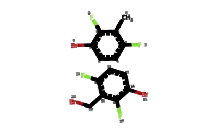 Cc1c(F)ccc(Br)c1F.Fc1ccc(Br)c(F)c1CBr